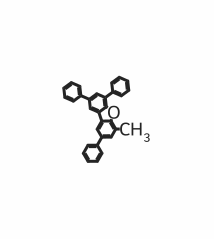 Cc1cc(-c2ccccc2)cc2c1oc1c(-c3ccccc3)cc(-c3ccccc3)cc12